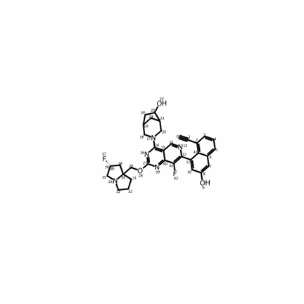 C#Cc1cccc2cc(O)cc(-c3ncc4c(N5CC6CC(O)C(C6)C5)nc(OCC56CCCN5C[C@H](F)C6)nc4c3F)c12